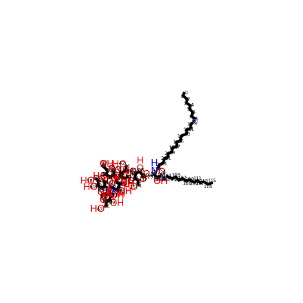 CCCCCCCC/C=C\CCCCCCCCCCCCCCCC(=O)N[C@@H](CO[C@@H]1OC(CO)[C@@H](O[C@@H]2OC(CO)[C@H](O[C@@H]3OC(CO)[C@H](O)[C@H](O[C@@H]4OC(CO)[C@H](O)[C@H](O[C@@H]5OC(CO)[C@H](O)[C@H](O)C5O[C@H]5OC(C)[C@@H](O)C(O)[C@@H]5O)C4NC(C)=O)C3O)[C@H](O)C2O)[C@H](O)C1O)[C@H](O)/C=C/CCCCCCCCCCCCC